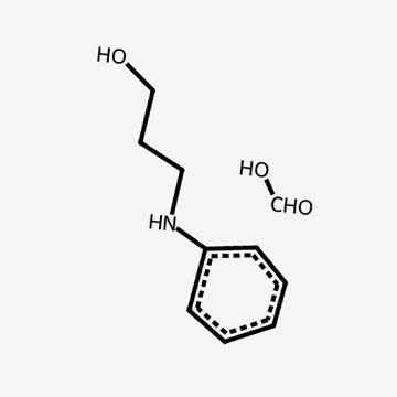 O=CO.OCCCNc1ccccc1